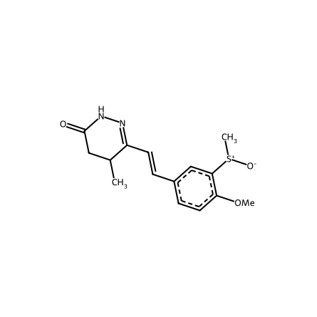 COc1ccc(C=CC2=NNC(=O)CC2C)cc1[S+](C)[O-]